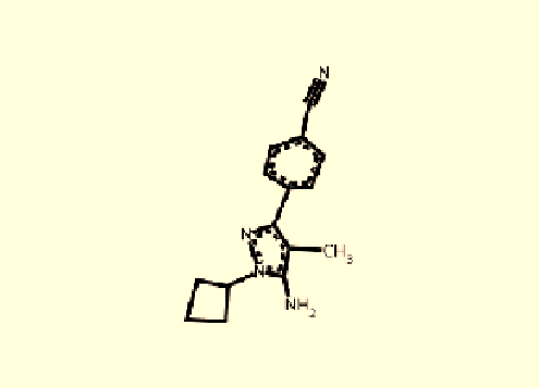 Cc1c(-c2ccc(C#N)cc2)nn(C2CCC2)c1N